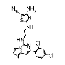 N#Cc1sc(NCCNc2nc(-c3ccc(Cl)cc3Cl)cc3nccn23)nc1N